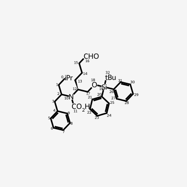 CC(C)CC(Cc1ccccc1)N(C(=O)O)[C@@H](CCCC=O)CO[Si](c1ccccc1)(c1ccccc1)C(C)(C)C